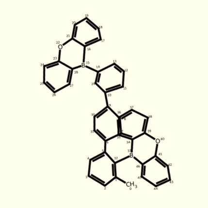 Cc1cccc(-c2ccc(-c3cccc(B4c5ccccc5Oc5ccccc54)c3)cc2)c1B1c2ccccc2Oc2ccccc21